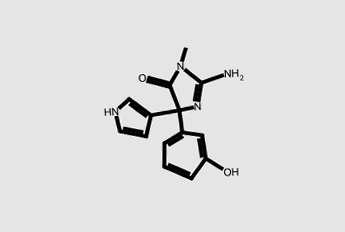 CN1C(=O)C(c2cc[nH]c2)(c2cccc(O)c2)N=C1N